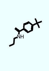 C=C(NCCC)c1ccc(C(C)(C)C)cc1